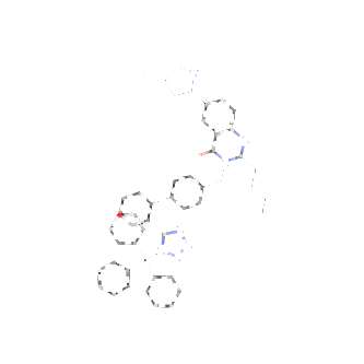 CCCCc1nc2ccc([C@H]3C[C@H](CO)ON3C)cc2c(=O)n1Cc1ccc(-c2ccccc2-c2nnnn2C(c2ccccc2)(c2ccccc2)c2ccccc2)cc1